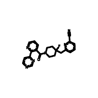 N#Cc1cccc(CC2(F)CCN(C(=O)c3cccnc3-c3ccncn3)CC2)n1